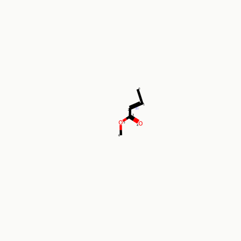 C/C=[C]/C(=O)OC